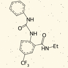 CCNC(=O)c1cc(C(F)(F)F)ccc1NC(=O)Nc1ccccc1